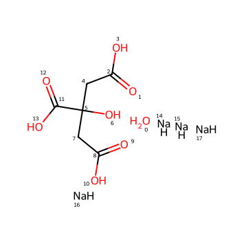 O.O=C(O)CC(O)(CC(=O)O)C(=O)O.[NaH].[NaH].[NaH].[NaH]